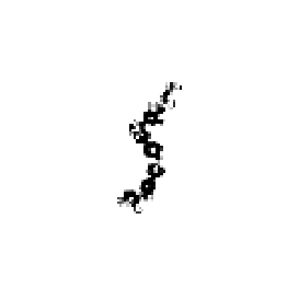 Cc1cc(-c2ncnn3cc(-c4ccc(CN5CCC(c6ccc(NC7CCC(=O)NC7=O)cc6)CC5)cc4)cc23)ccc1CNC(=O)CCC(C)(C)C